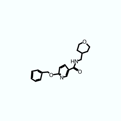 O=C(NCC1CCOCC1)c1ccc(OCc2ccccc2)nc1